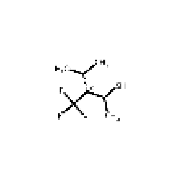 CC(C)[C@H](C(C)S)C(F)(F)F